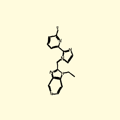 CCn1c(Cn2ccnc2-c2cccc(F)n2)nc2cnccc21